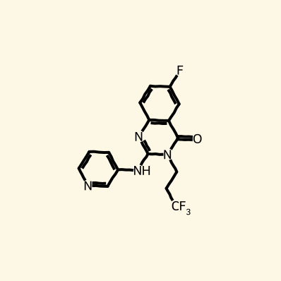 O=c1c2cc(F)ccc2nc(Nc2cccnc2)n1CCC(F)(F)F